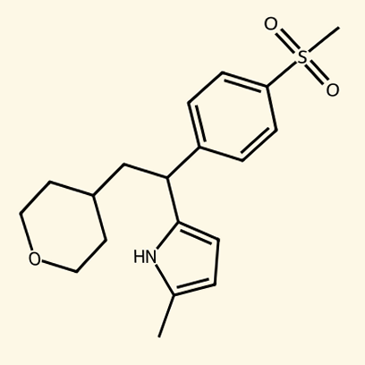 Cc1ccc(C(CC2CCOCC2)c2ccc(S(C)(=O)=O)cc2)[nH]1